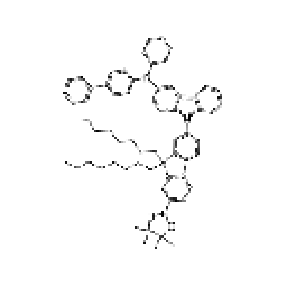 CCCCCCCCC1(CCCCCCCC)c2cc(B3OC(C)(C)C(C)(C)O3)ccc2-c2ccc(-n3c4ccccc4c4cc(N(c5ccccc5)c5ccc(-c6ccccc6)cc5)ccc43)cc21